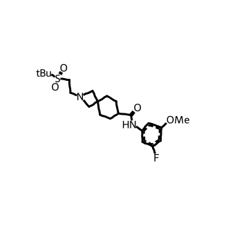 COc1cc(F)cc(NC(=O)C2CCC3(CC2)CN(CCS(=O)(=O)C(C)(C)C)C3)c1